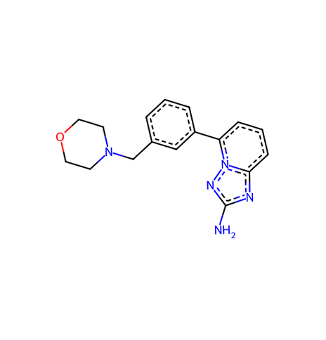 Nc1nc2cccc(-c3cccc(CN4CCOCC4)c3)n2n1